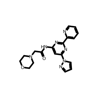 O=C(CN1CCOCC1)Nc1cc(-n2cccn2)nc(-c2ccccn2)n1